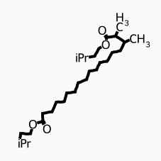 CC(C)CCOC(=O)CCCCCCCCCCCCCCC(C)C(C)C(=O)OCCC(C)C